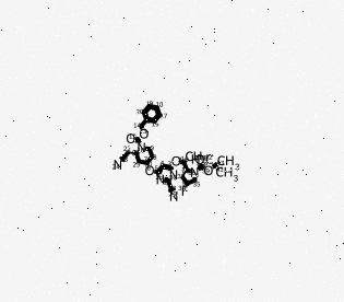 C[C@H](Oc1cc(O[C@H]2CCN(C(=O)OCc3ccccc3)[C@H](CC#N)C2)nc(C#N)n1)[C@@H]1C[C@@H](F)CN1C(=O)OC(C)(C)C